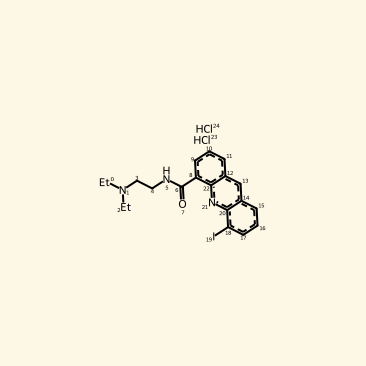 CCN(CC)CCNC(=O)c1cccc2cc3cccc(I)c3nc12.Cl.Cl